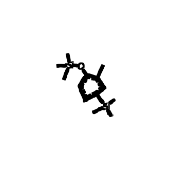 Cc1cc([Si](C)(C)C)ccc1O[Si](C)(C)C